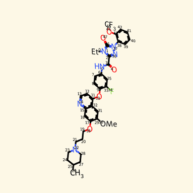 CCn1c(C(=O)Nc2ccc(Oc3ccnc4cc(OCCCN5CCC(C)CC5)c(OC)cc34)c(F)c2)nn(-c2ccccc2OC(F)(F)F)c1=O